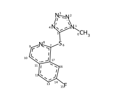 Cn1nnnc1Sc1nccc2ccc(F)cc12